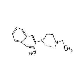 CCN1CCN(c2cc3ccccc3cn2)CC1.Cl